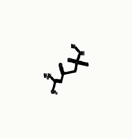 CCNS(=O)(=O)CC(=O)C=C(C)N